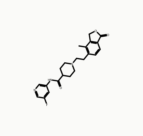 Cc1c(CCN2CCC(C(=O)Nc3cncc(F)c3)CC2)ccc2c1COC2=O